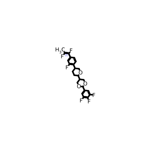 C/C(F)=C(\F)c1ccc(C2CCC(C3COC(c4cc(F)c(F)c(F)c4)OC3)OC2)c(F)c1